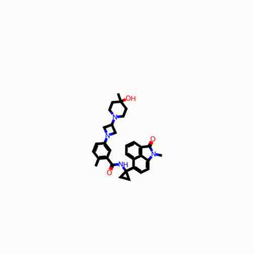 Cc1ccc(N2CC(N3CCC(C)(O)CC3)C2)cc1C(=O)NC1(c2ccc3c4c(cccc24)C(=O)N3C)CC1